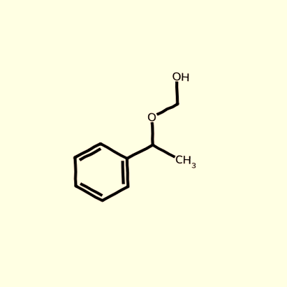 CC(OCO)c1ccccc1